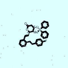 CC(C)(C)[Si](O[C@H]1CC(=O)O[C@H](C=Cc2ccccc2CCc2ccc(F)cc2)C1)(c1ccccc1)c1ccccc1